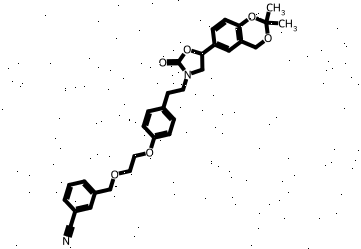 CC1(C)OCc2cc(C3CN(CCc4ccc(OCCOCc5cccc(C#N)c5)cc4)C(=O)O3)ccc2O1